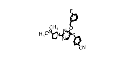 CN(C)[C@@H]1CCN(c2ncc(Sc3ccc(C#N)cc3)c(OCc3cccc(F)c3)n2)C1